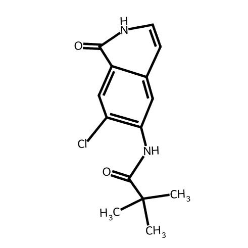 CC(C)(C)C(=O)Nc1cc2cc[nH]c(=O)c2cc1Cl